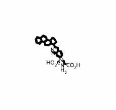 NC(CN(C(=O)O)c1ccc2cc(C3CC=CC4=C3CCc3c4ccc4ccccc34)nnc2c1)C(=O)O